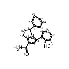 Cl.NC(=O)c1cc(-c2cccnc2)n2c1CSC2c1ccccc1